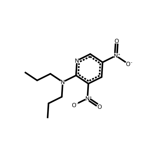 CCCN(CCC)c1ncc([N+](=O)[O-])cc1[N+](=O)[O-]